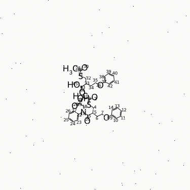 CC(=O)SCC(CCOc1ccccc1)C(=O)N(CC(=O)O)c1ccccc1.CC(=O)SCC(CCOc1ccccc1)C(=O)O